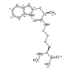 CN[C@@H](CCCCNC(=O)[C@H](C)Cc1cc2ccccc2[nH]1)C(=O)O